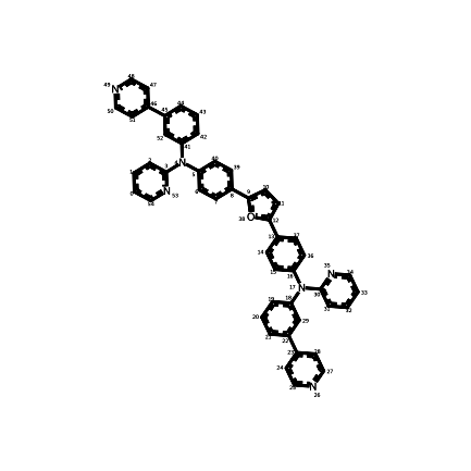 c1ccc(N(c2ccc(-c3ccc(-c4ccc(N(c5cccc(-c6ccncc6)c5)c5ccccn5)cc4)o3)cc2)c2cccc(-c3ccncc3)c2)nc1